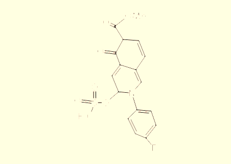 COC(=O)C1C=CC2=CN(c3ccc(F)cc3)C(OS(=O)(=O)C(F)(F)F)C=C2C1=O